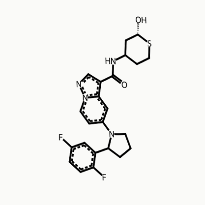 O=C(NC1CCS[C@@H](O)C1)c1cnn2ccc(N3CCCC3c3cc(F)ccc3F)cc12